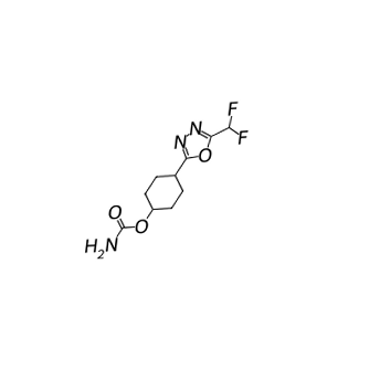 NC(=O)OC1CCC(c2nnc(C(F)F)o2)CC1